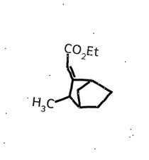 CCOC(=O)C=C1C2CCC(C2)C1C